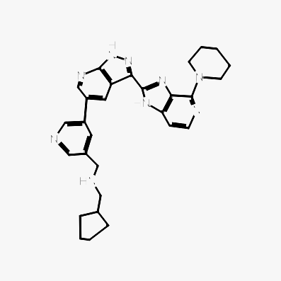 c1cc2[nH]c(-c3n[nH]c4ncc(-c5cncc(CNCC6CCCC6)c5)cc34)nc2c(N2CCCCC2)n1